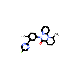 Cc1ccc(NC(=O)C2CCCC(C)N2c2ccccn2)cc1-c1ncc(F)cn1